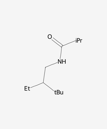 CCC(CNC(=O)C(C)C)C(C)(C)C